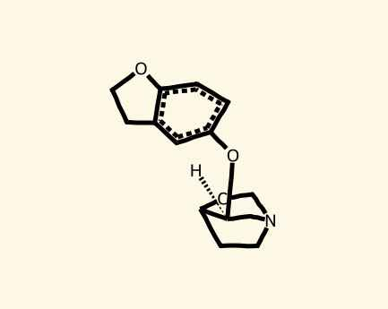 c1cc2c(cc1O[C@H]1CN3CCC1CC3)CCO2